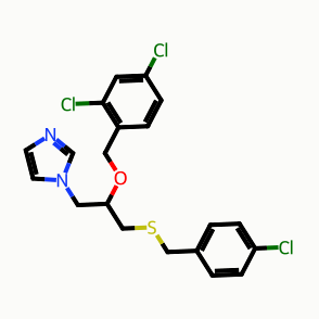 Clc1ccc(CSCC(Cn2ccnc2)OCc2ccc(Cl)cc2Cl)cc1